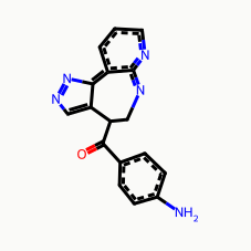 Nc1ccc(C(=O)C2CN=c3ncccc3=C3N=NC=C32)cc1